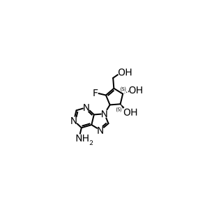 Nc1ncnc2c1ncn2C1C(F)=C(CO)[C@H](O)[C@H]1O